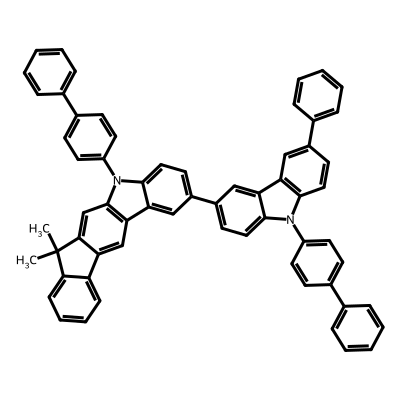 CC1(C)c2ccccc2-c2cc3c4cc(-c5ccc6c(c5)c5cc(-c7ccccc7)ccc5n6-c5ccc(-c6ccccc6)cc5)ccc4n(-c4ccc(-c5ccccc5)cc4)c3cc21